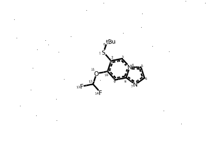 CC(C)(C)Sc1cn2ccnc2cc1OC(F)F